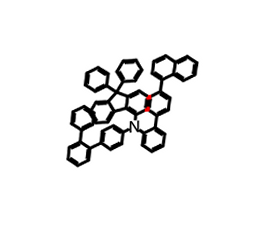 c1ccc(-c2ccccc2-c2ccc(N(c3ccccc3-c3ccc(-c4cccc5ccccc45)cc3)c3cccc4c3-c3ccccc3C4(c3ccccc3)c3ccccc3)cc2)cc1